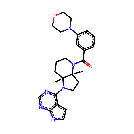 O=C(c1cccc(N2CCOCC2)c1)N1CCC[C@@H]2[C@H]1CCN2c1ncnc2[nH]ccc12